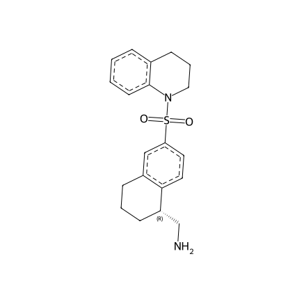 NC[C@@H]1CCCc2cc(S(=O)(=O)N3CCCc4ccccc43)ccc21